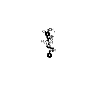 COc1cc2[nH]c(=O)c([C@H](C)Nc3nccc(-c4cncn4Cc4ccccc4)n3)cc2cc1Cl